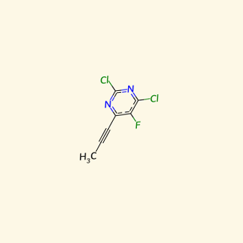 CC#Cc1nc(Cl)nc(Cl)c1F